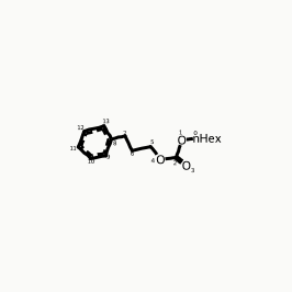 CCCCCCOC(=O)OCCCc1ccccc1